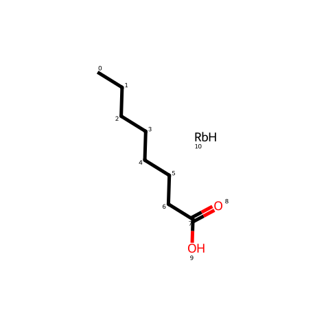 CCCCCCCC(=O)O.[RbH]